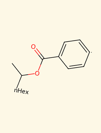 CCCCCCC(C)OC(=O)c1cc[c]cc1